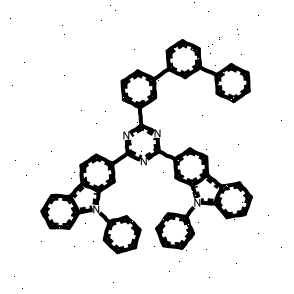 c1ccc(-c2cccc(-c3cccc(-c4nc(-c5ccc6c7ccccc7n(-c7ccccc7)c6c5)nc(-c5ccc6c7ccccc7n(-c7ccccc7)c6c5)n4)c3)c2)cc1